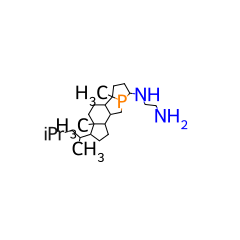 CC(C)CC(C)C1CCC2C3CP4C(NCCN)CCC4(C)C3CCC12C